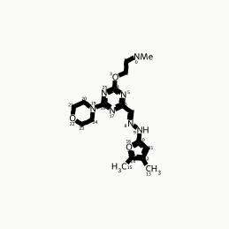 CNCCOc1nc(/C=N/Nc2cc(C)c(C)o2)nc(N2CCOCC2)n1